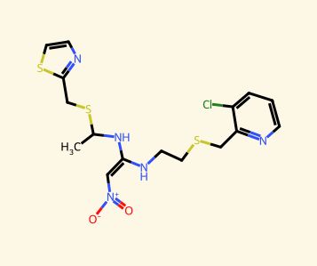 CC(NC(=C[N+](=O)[O-])NCCSCc1ncccc1Cl)SCc1nccs1